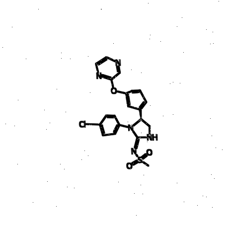 CS(=O)(=O)/N=C1\NC[C@H](c2cccc(Oc3cnccn3)c2)N1c1ccc(Cl)cc1